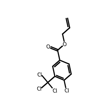 C=CCOC(=O)c1ccc(Cl)c(C(Cl)(Cl)Cl)c1